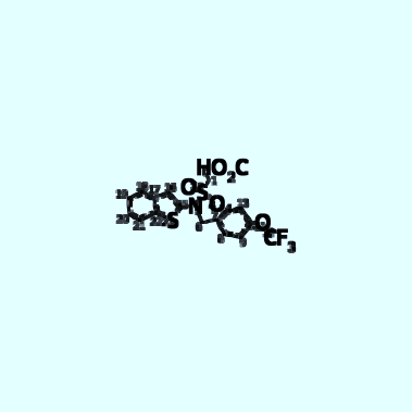 O=C(O)CS(=O)(=O)N(Cc1ccc(OC(F)(F)F)cc1)c1cc2ccccc2s1